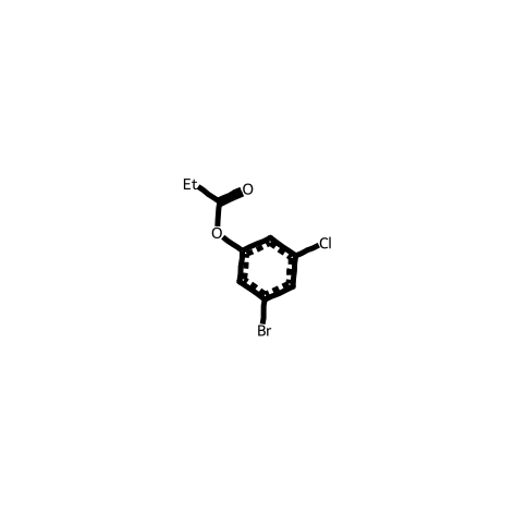 CCC(=O)Oc1cc(Cl)cc(Br)c1